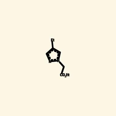 CCOC(=O)Cn1cc(CC)cn1